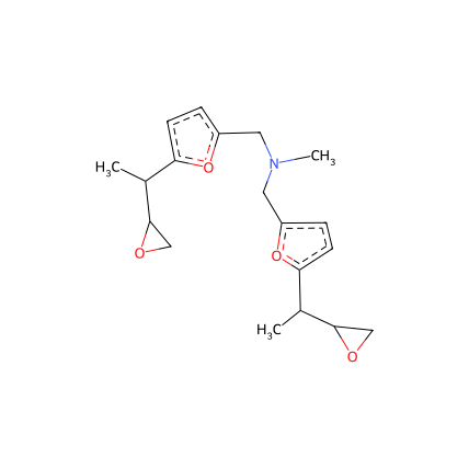 CC(c1ccc(CN(C)Cc2ccc(C(C)C3CO3)o2)o1)C1CO1